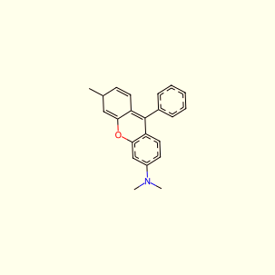 CC1C=CC2=C(c3ccccc3)c3ccc(N(C)C)cc3OC2=C1